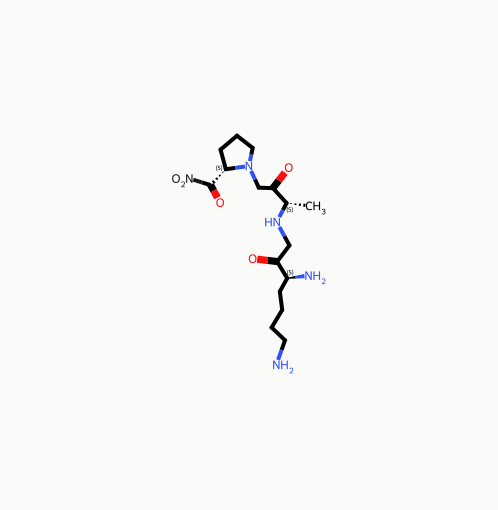 C[C@H](NCC(=O)[C@@H](N)CCCCN)C(=O)CN1CCC[C@H]1C(=O)[N+](=O)[O-]